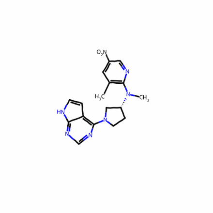 Cc1cc([N+](=O)[O-])cnc1N(C)[C@@H]1CCN(c2ncnc3[nH]ccc23)C1